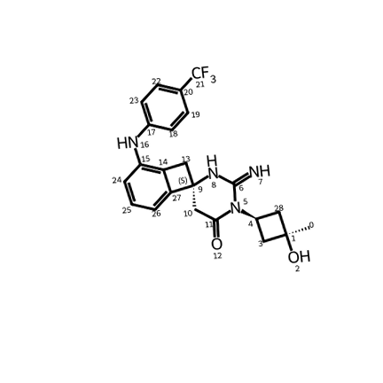 C[C@]1(O)C[C@@H](N2C(=N)N[C@]3(CC2=O)Cc2c(Nc4ccc(C(F)(F)F)cc4)cccc23)C1